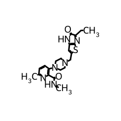 CCc1nc2sc(CN3CCN(c4ccc(C)nc4C(=O)NC)CC3)cc2[nH]c1=O